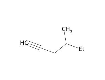 C#CCC(C)CC